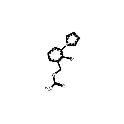 CC(=O)OCc1cccc(-n2cccc2)c1Br